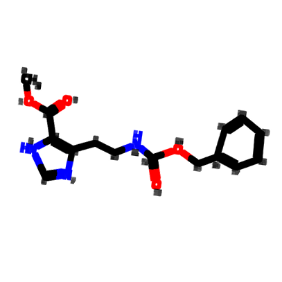 COC(=O)c1[nH]cnc1CCNC(=O)OCc1ccccc1